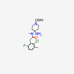 CON1CCC(N)(N(C)C(=O)Cc2c(F)ccc(C)c2Cl)CC1